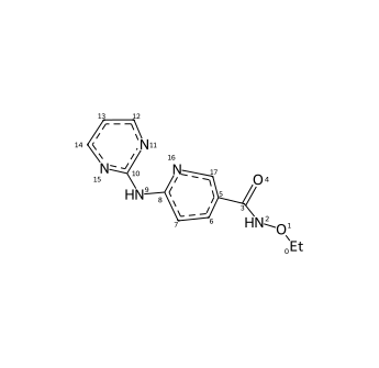 CCONC(=O)c1ccc(Nc2ncccn2)nc1